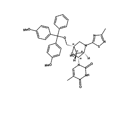 COc1ccc(C(OC[C@@]23CN(c4nc(C)ns4)[C@@H]([C@H](n4cc(C)c(=O)[nH]c4=O)O2)[C@@H]3O)(c2ccccc2)c2ccc(OC)cc2)cc1